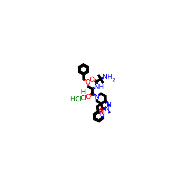 CN1N=C2CCN(C(=O)C(COCc3ccccc3)NC(=O)C(C)(C)N)CC2(Cc2ccccn2)C1=O.Cl.Cl